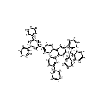 C1=CC(c2cc3c(cc2-c2cccc(-c4ccccc4)c2)C(c2ccccc2)(c2ccccc2)c2ccccc2-3)CC=C1c1nc(-c2ccccc2)nc(-c2ccccc2)n1